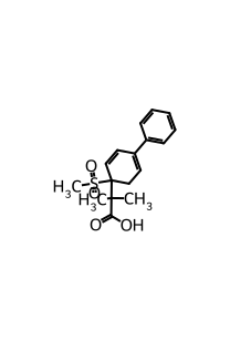 CC(C)(C(=O)O)C1(S(C)(=O)=O)C=CC(c2ccccc2)=CC1